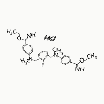 CCOC(=N)c1ccc(N(C)Cc2cccc(CN(C)c3ccc(C(=N)OCC)cc3)c2F)cc1.Cl.Cl